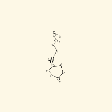 COCC[N]C1CCOCC1